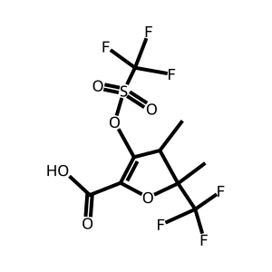 CC1C(OS(=O)(=O)C(F)(F)F)=C(C(=O)O)OC1(C)C(F)(F)F